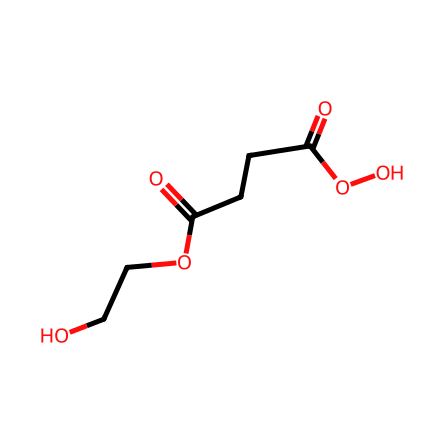 O=C(CCC(=O)OCCO)OO